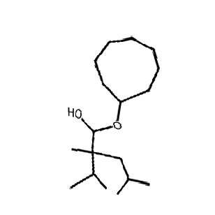 CC(C)CC(C)(C(C)C)C(O)OC1CCCCCCC1